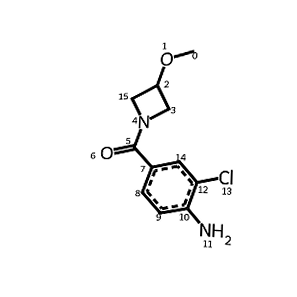 COC1CN(C(=O)c2ccc(N)c(Cl)c2)C1